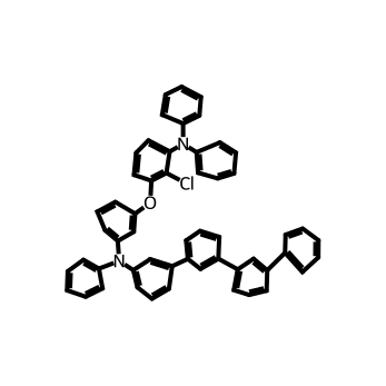 Clc1c(Oc2cccc(N(c3ccccc3)c3cccc(-c4cccc(-c5cccc(-c6ccccc6)c5)c4)c3)c2)cccc1N(c1ccccc1)c1ccccc1